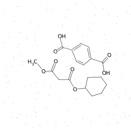 COC(=O)CC(=O)OC1CCCCC1.O=C(O)c1ccc(C(=O)O)cc1